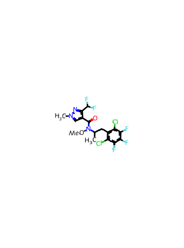 CON(C(=O)c1cn(C)nc1C(F)F)C(C)Cc1c(Cl)c(F)c(F)c(F)c1Cl